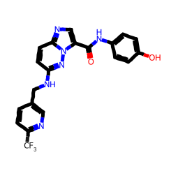 O=C(Nc1ccc(O)cc1)c1cnc2ccc(NCc3ccc(C(F)(F)F)nc3)nn12